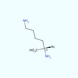 CC(=O)[C@](N)(CCCCN)C(=O)O